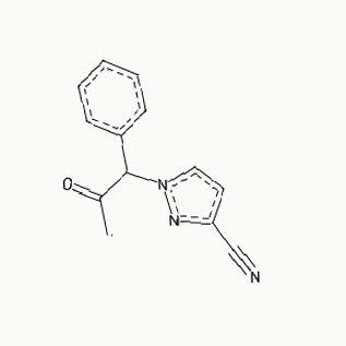 [CH2]C(=O)C(c1ccccc1)n1ccc(C#N)n1